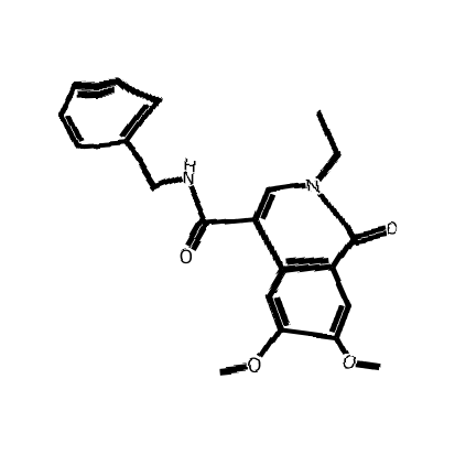 CCn1cc(C(=O)NCc2ccccc2)c2cc(OC)c(OC)cc2c1=O